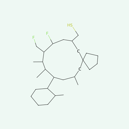 CC1CC(C2CCCCC2C)C(C)C(C)C(CF)C(F)CC(CS)CC2(CCCC2)C1